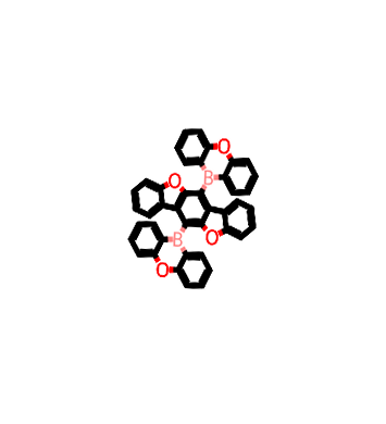 c1ccc2c(c1)Oc1ccccc1B2c1c2oc3ccccc3c2c(B2c3ccccc3Oc3ccccc32)c2oc3ccccc3c12